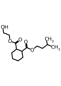 CC(C)CCOC(=O)C1CCCCC1C(=O)OCCO